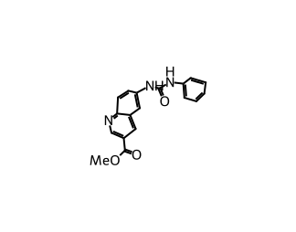 COC(=O)c1cnc2ccc(NC(=O)Nc3ccccc3)cc2c1